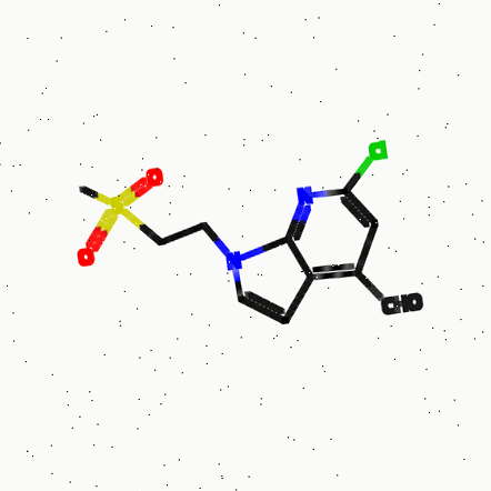 CS(=O)(=O)CCn1ccc2c(C=O)cc(Cl)nc21